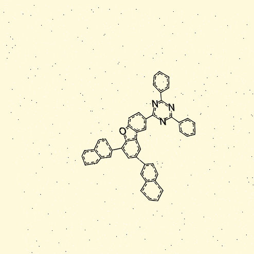 c1ccc(-c2nc(-c3ccccc3)nc(-c3ccc4oc5c(-c6ccc7ccccc7c6)cc(-c6ccc7ccccc7c6)cc5c4c3)n2)cc1